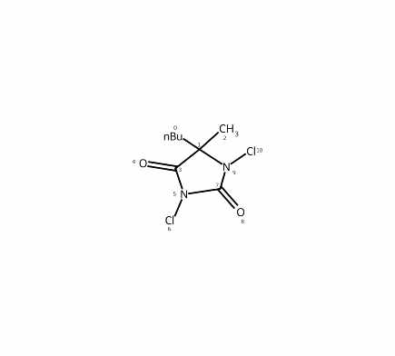 CCCCC1(C)C(=O)N(Cl)C(=O)N1Cl